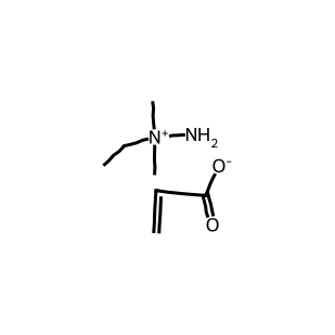 C=CC(=O)[O-].CC[N+](C)(C)N